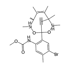 C#CC(O[SiH](C)C(C)(C)C(C)C)(O[SiH](C)C(C)(C)C(C)C)c1cc(Br)c(C)cc1NC(=O)OC